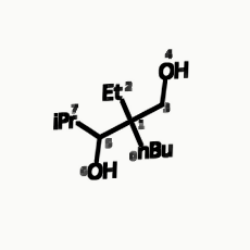 CCCCC(CC)(CO)C(O)C(C)C